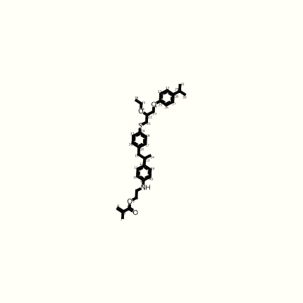 C=C(C)C(=O)OCCNc1ccc(C(C)Cc2ccc(SCC(COc3ccc(C(C)C)cc3)OCC)cc2)cc1